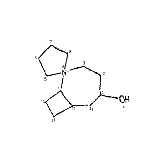 OC1CC[N+]2(CCCC2)C2CCC2C1